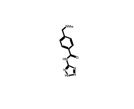 CNCc1ccc(C(=O)Nc2nn[nH]n2)cc1